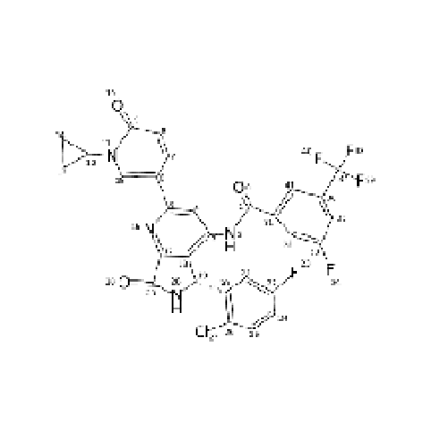 O=C(Nc1cc(-c2ccc(=O)n(C3CC3)c2)nc2c1[C@H](c1cc(F)ccc1Cl)NC2=O)c1cc(F)cc(C(F)(F)F)c1